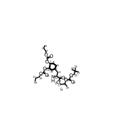 CCCOC(=O)Oc1ccc(C[C@H](N)C(=O)O[C@@H](C)C(C)OC(=O)OCC(C)(C)C)cc1OC(=O)OCCC